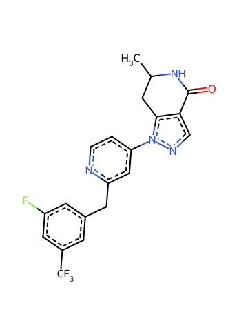 CC1Cc2c(cnn2-c2ccnc(Cc3cc(F)cc(C(F)(F)F)c3)c2)C(=O)N1